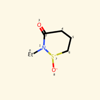 CCN1C(=O)CCC[S+]1[O-]